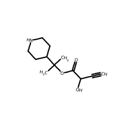 C#CC(O)C(=O)OC(C)(C)C1CCNCC1